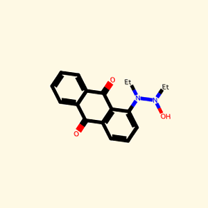 CCN(O)N(CC)c1cccc2c1C(=O)c1ccccc1C2=O